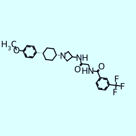 COc1ccc([C@H]2CC[C@@H](N3CC(NC(=O)CNC(=O)c4cccc(C(F)(F)F)c4)C3)CC2)cc1